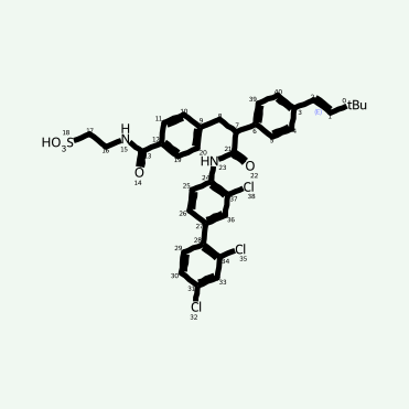 CC(C)(C)/C=C/c1ccc(C(Cc2ccc(C(=O)NCCS(=O)(=O)O)cc2)C(=O)Nc2ccc(-c3ccc(Cl)cc3Cl)cc2Cl)cc1